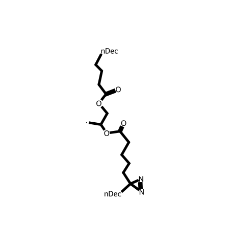 [CH2]C(COC(=O)CCCCCCCCCCCCC)OC(=O)CCCCC1(CCCCCCCCCC)N=N1